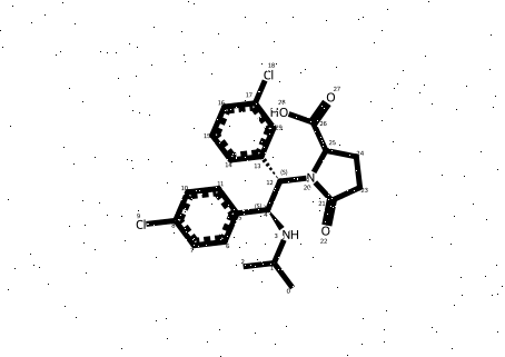 CC(C)N[C@@H](c1ccc(Cl)cc1)[C@H](c1cccc(Cl)c1)N1C(=O)CCC1C(=O)O